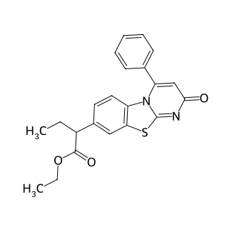 CCOC(=O)C(CC)c1ccc2c(c1)sc1nc(=O)cc(-c3ccccc3)n12